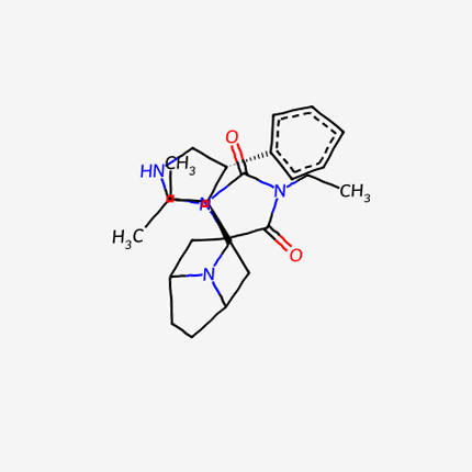 CCN1C(=O)N(C(C)C)C2(CC3CCC(C2)N3C[C@H]2CNC[C@@H]2c2ccccc2)C1=O